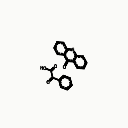 O=C(O)C(=O)c1ccccc1.O=c1c2ccccc2sc2ccccc12